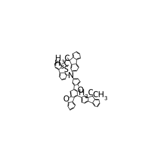 CC1(C)c2ccccc2-c2ccc(-c3c4oc5ccc(N(c6ccc7c(c6)C(C)(C)c6ccccc6-7)c6cccc7c6sc6ccccc67)cc5c4cc4oc5ccccc5c34)cc21